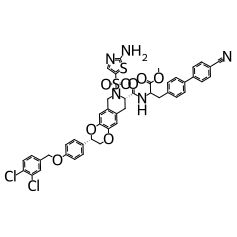 COC(=O)C(Cc1ccc(-c2ccc(C#N)cc2)cc1)NC(=O)[C@@H]1Cc2cc3c(cc2CN1S(=O)(=O)c1cnc(N)s1)O[C@@H](c1ccc(OCc2ccc(Cl)c(Cl)c2)cc1)CO3